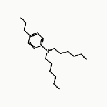 CCCCCCN(CCCCCC)c1ccc(CCC)cc1